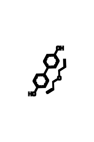 C=CCOCC=C.Oc1ccc(-c2ccc(O)cc2)cc1